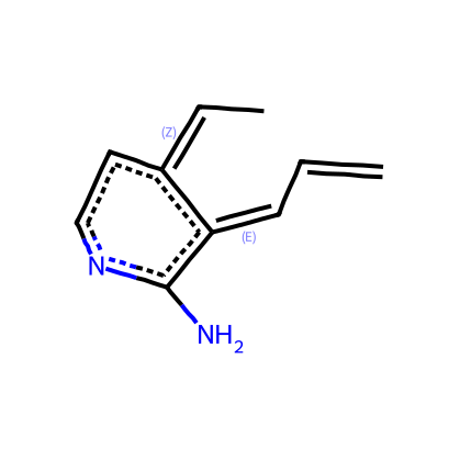 C=C/C=c1/c(N)ncc/c1=C/C